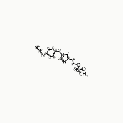 CS(=O)(=O)OCCc1cn(Cc2ccc(N=[N+]=[N-])cc2)nn1